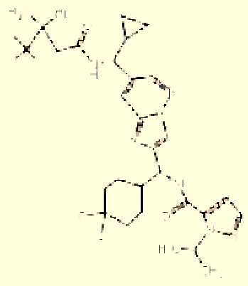 CC(C)n1nccc1C(=O)N[C@H](c1cn2ncc([C@H](NC(=O)C[C@@](C)(O)C(F)(F)F)C3CC3)cc2n1)C1CCC(F)(F)CC1